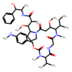 CCC(C)C(C(CC(=O)N1CCCC1C(OC)C(C)C(=O)NC(C)C(O)c1ccccc1)OC)N(C)C(=O)CNC(=O)C(C(C)C)N(C)C(=O)OCc1ccc(NC)cc1